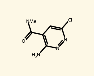 CNC(=O)c1cc(Cl)nnc1N